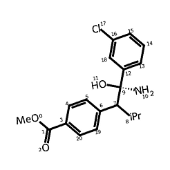 COC(=O)c1ccc(C(C(C)C)[C@@](N)(O)c2cccc(Cl)c2)cc1